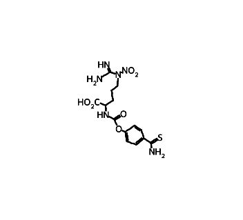 N=C(N)N(CCCC(NC(=O)Oc1ccc(C(N)=S)cc1)C(=O)O)[N+](=O)[O-]